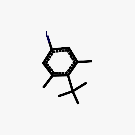 Cc1cc(I)cc(C)c1C(C)(C)C